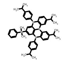 CC(C)c1ccc(N2c3ccc(C(C)C)cc3B3c4cc(C(C)C)ccc4N(c4ccc(C(C)C)cc4)c4cc([Si](C)(C)c5ccccc5)cc2c43)cc1